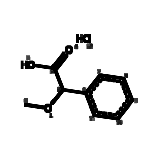 COC(C(=O)O)c1ccccc1.Cl